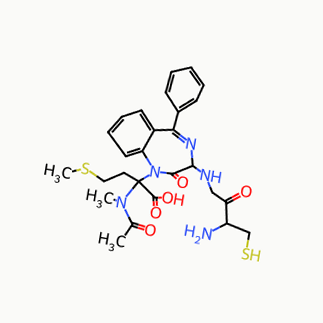 CSCCC(C(=O)O)(N(C)C(C)=O)N1C(=O)C(NCC(=O)C(N)CS)N=C(c2ccccc2)c2ccccc21